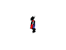 C[C@H]1CCC(c2ccc3ccncc3c2)CC/C=C2/C=C3CCC(N4CCC(F)(F)C4)C[C@]34CC[C@@]21O4